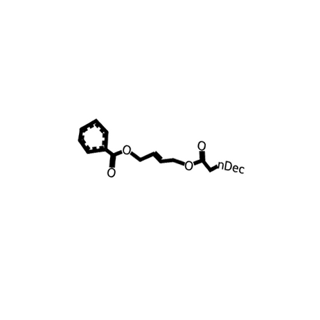 CCCCCCCCCCCC(=O)OCC=CCOC(=O)c1ccccc1